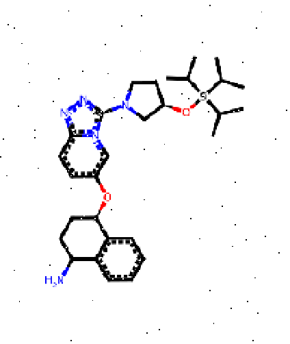 CC(C)[Si](O[C@@H]1CCN(c2nnc3ccc(O[C@@H]4CCC(N)c5ccccc54)cn23)C1)(C(C)C)C(C)C